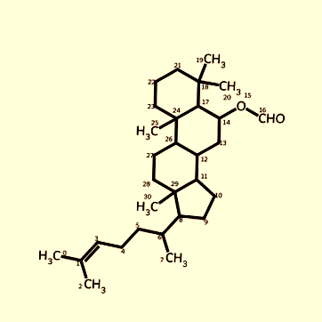 CC(C)=CCCC(C)C1CCC2C3CC(OC=O)C4C(C)(C)CCCC4(C)C3CCC12C